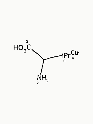 CC(C)C(N)C(=O)O.[Cu]